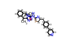 CC12CC(C)(C(=O)NC3=NC(Cc4ccc(-c5ccncc5)cc4)CS3)C(c3ccccc31)n1cnnc12